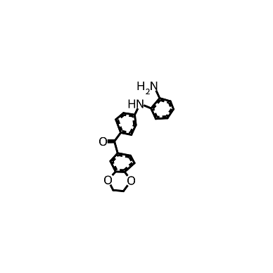 Nc1ccccc1Nc1ccc(C(=O)c2ccc3c(c2)OCCO3)cc1